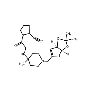 [C-]#[N+][C@@H]1CCCN1C(=O)CNC1(C)CCN(CC2=C[C@H]3OC(C)(C)O[C@H]3O2)CC1